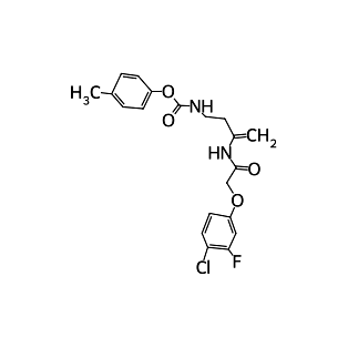 C=C(CCNC(=O)Oc1ccc(C)cc1)NC(=O)COc1ccc(Cl)c(F)c1